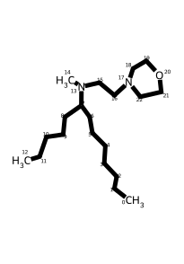 CCCCCCCC(CCCCC)N(C)CCN1CCOCC1